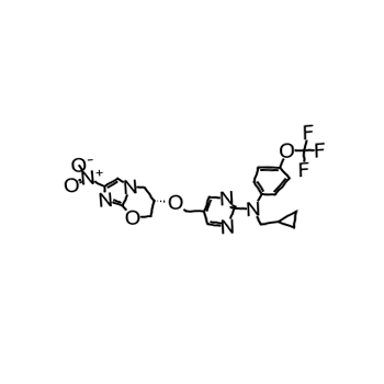 O=[N+]([O-])c1cn2c(n1)OC[C@@H](OCc1cnc(N(CC3CC3)c3ccc(OC(F)(F)F)cc3)nc1)C2